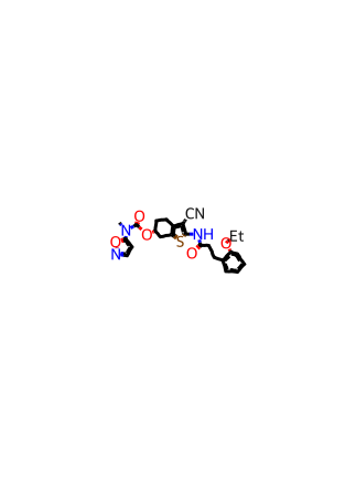 CCOc1ccccc1CCC(=O)Nc1sc2c(c1C#N)CCC(OC(=O)N(C)c1ccno1)C2